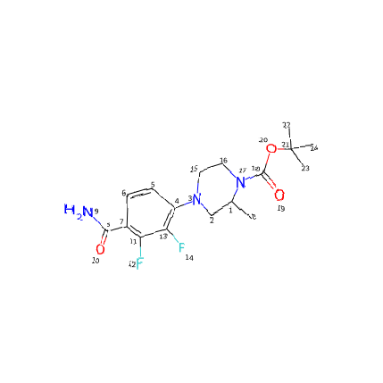 CC1CN(c2ccc(C(N)=O)c(F)c2F)CCN1C(=O)OC(C)(C)C